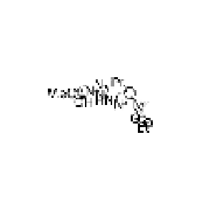 CCS(=O)(=O)C[C@H]1CN(c2ccc(C(C)C)c3cc(Nc4ccnc(N5CC[C@H](OC)[C@@H](O)C5)n4)ncc23)[C@@H]1C